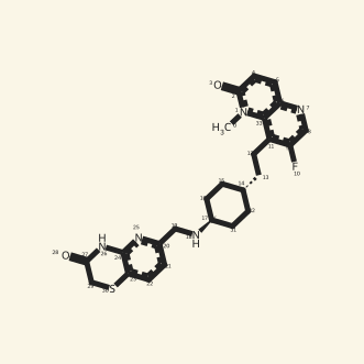 Cn1c(=O)ccc2ncc(F)c(CC[C@H]3CC[C@H](NCc4ccc5c(n4)NC(=O)CS5)CC3)c21